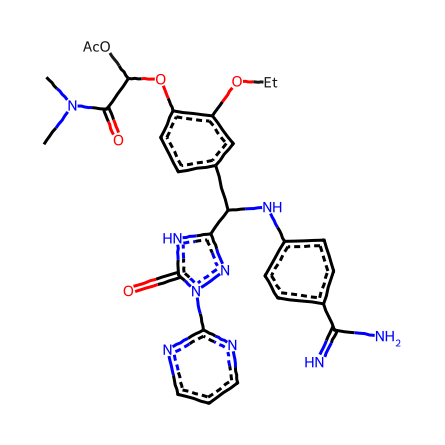 CCOc1cc(C(Nc2ccc(C(=N)N)cc2)c2nn(-c3ncccn3)c(=O)[nH]2)ccc1OC(OC(C)=O)C(=O)N(C)C